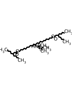 CCCCCC(CCCCC)CC(=O)OCCCCCCCCCCC(CCCCCCCCCCOC(=O)CC(CCCCC)CCCCC)NC(=O)CN(C)C(C)C